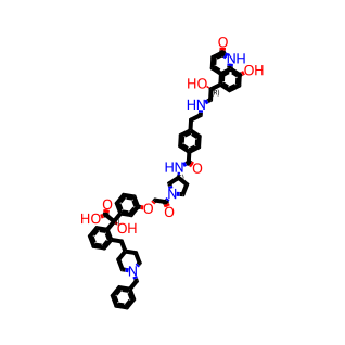 O=C(N[C@H]1CCN(C(=O)COc2cccc([C@@](O)(C(=O)O)c3ccccc3CC3CCN(Cc4ccccc4)CC3)c2)C1)c1ccc(CCNC[C@H](O)c2ccc(O)c3[nH]c(=O)ccc23)cc1